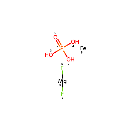 O=P(O)(O)O.[F][Mg][F].[Fe]